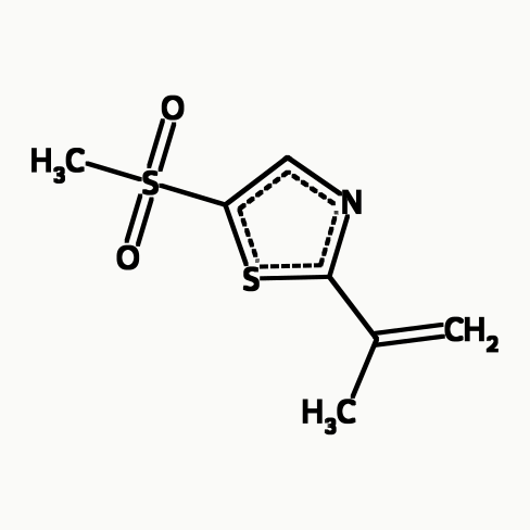 C=C(C)c1ncc(S(C)(=O)=O)s1